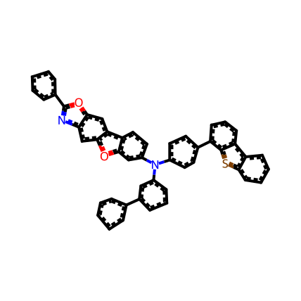 c1ccc(-c2cccc(N(c3ccc(-c4cccc5c4sc4ccccc45)cc3)c3ccc4c(c3)oc3cc5nc(-c6ccccc6)oc5cc34)c2)cc1